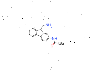 CC(C)(C)C(=O)Nc1ccc2c(c1)C(CN)c1ccccc1-2